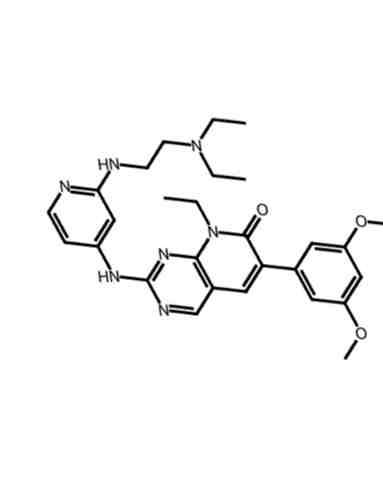 CCN(CC)CCNc1cc(Nc2ncc3cc(-c4cc(OC)cc(OC)c4)c(=O)n(CC)c3n2)ccn1